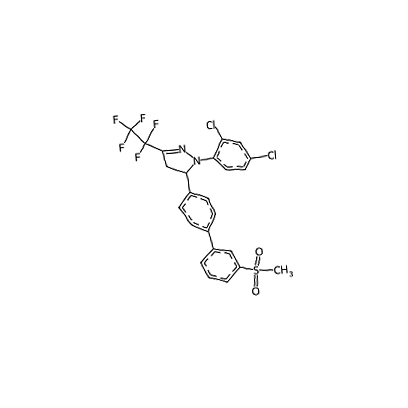 CS(=O)(=O)c1cccc(-c2ccc(C3CC(C(F)(F)C(F)(F)F)=NN3c3ccc(Cl)cc3Cl)cc2)c1